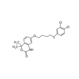 CC1(C)OC(=O)Nc2cc(OCCCCSc3ccc(Cl)c(Cl)c3)ccc21